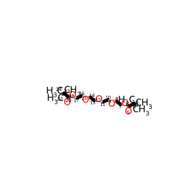 CC(C)(C)C(=O)OCCOCCOCCOCCOC(=O)C(C)(C)C